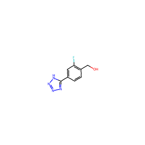 OCc1ccc(-c2nnn[nH]2)cc1F